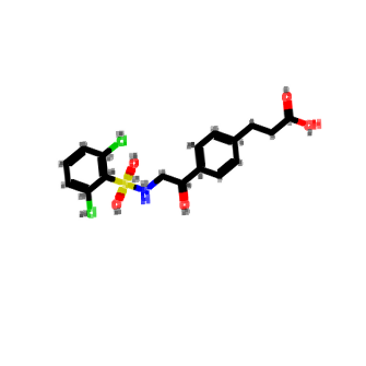 O=C(O)CCc1ccc(C(=O)CNS(=O)(=O)c2c(Cl)cccc2Cl)cc1